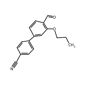 CCCOc1cc(-c2ccc(C#N)cc2)ccc1C=O